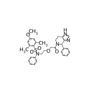 COc1cc(C)c(S(=O)(=O)N(CCOCC(=O)N2CCc3[nH]cnc3C2c2ccccc2)c2ccccc2)c(C)c1